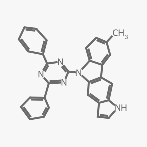 Cc1ccc2c(c1)c1cc3[nH]ccc3cc1n2-c1nc(-c2ccccc2)nc(-c2ccccc2)n1